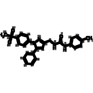 Cc1ccc(NC(=O)NCc2cc(-c3ccccc3)n(-c3ccc(S(C)(=O)=O)cc3)n2)cc1